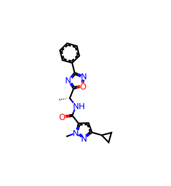 C[C@@H](NC(=O)c1cc(C2CC2)nn1C)c1nc(-c2ccccc2)no1